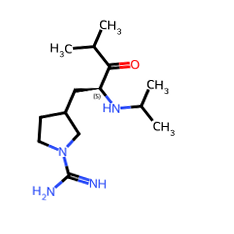 CC(C)N[C@@H](CC1CCN(C(=N)N)C1)C(=O)C(C)C